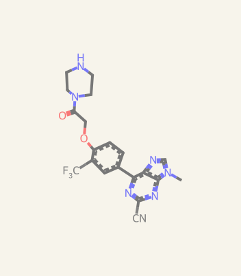 Cn1cnc2c(-c3ccc(OCC(=O)N4CCNCC4)c(C(F)(F)F)c3)nc(C#N)nc21